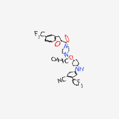 N#Cc1ccc(NC2CCC(OC(C=O)N3CCN(C(=O)C4Cc5cc(C(F)(F)F)ccc5O4)CC3)CC2)cc1C(F)(F)F